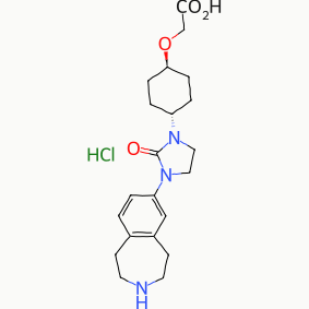 Cl.O=C(O)CO[C@H]1CC[C@H](N2CCN(c3ccc4c(c3)CCNCC4)C2=O)CC1